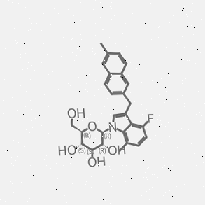 Cc1ccc2cc(Cc3cn([C@@H]4O[C@H](CO)[C@@H](O)[C@H](O)[C@H]4O)c4c(C)ccc(F)c34)ccc2c1